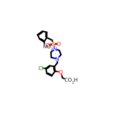 O=C(O)COc1ccc(Cl)cc1CN1CCN(S(=O)(=O)Cc2ccccc2[N+](=O)[O-])CC1